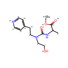 CC(NC(=O)N(CCO)CCc1ccncc1)C(=O)OC(C)(C)C